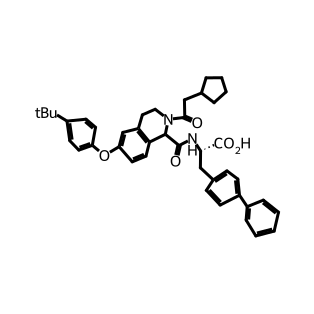 CC(C)(C)c1ccc(Oc2ccc3c(c2)CCN(C(=O)CC2CCCC2)C3C(=O)N[C@@H](Cc2ccc(-c3ccccc3)cc2)C(=O)O)cc1